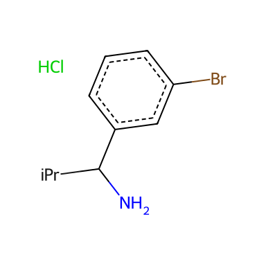 CC(C)C(N)c1cccc(Br)c1.Cl